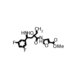 C=CC(O)(CC(=N)c1cc(F)cc(F)c1)C(=O)N[C@@H]1C=C(C(=O)OC)OC1